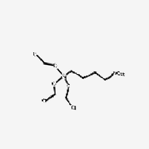 CCCCCCCCCCCC[Si](OCCl)(OCCl)OCCl